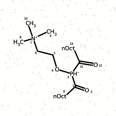 CCCCCCCCC(=O)[PH-](OCC[N+](C)(C)C)C(=O)CCCCCCCC